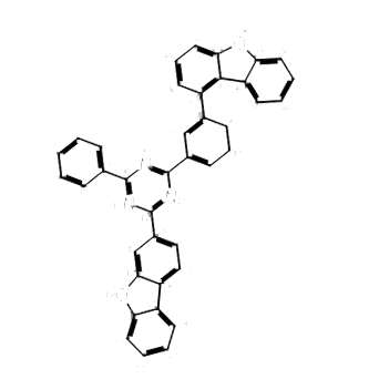 C1=C(c2nc(-c3ccccc3)nc(-c3ccc4c(c3)oc3ccccc34)n2)C=C(c2cccc3oc4ccccc4c23)CC1